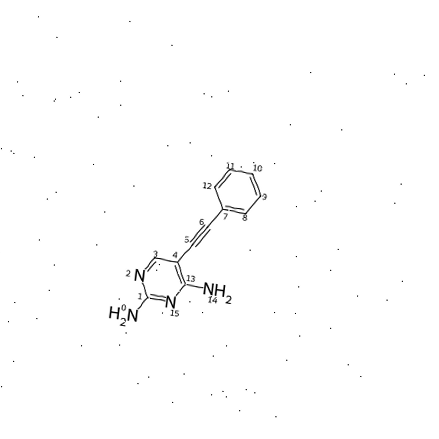 Nc1ncc(C#Cc2ccccc2)c(N)n1